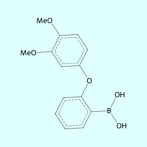 COc1ccc(Oc2ccccc2B(O)O)cc1OC